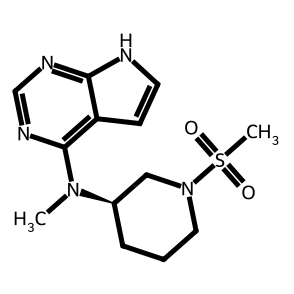 CN(c1ncnc2[nH]ccc12)[C@@H]1CCCN(S(C)(=O)=O)C1